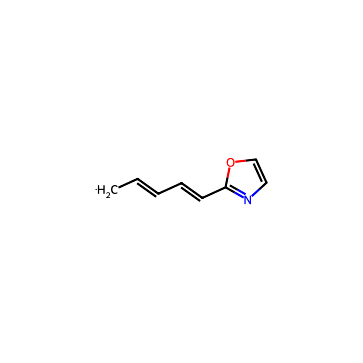 [CH2]C=CC=Cc1ncco1